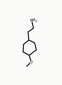 COC1CCC(CCN)CC1